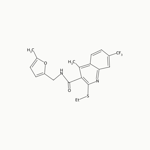 CCSc1nc2cc(C(F)(F)F)ccc2c(C)c1C(=O)NCc1ccc(C)o1